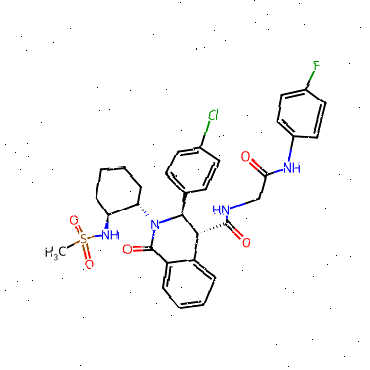 CS(=O)(=O)N[C@H]1CCCC[C@@H]1N1C(=O)c2ccccc2[C@@H](C(=O)NCC(=O)Nc2ccc(F)cc2)[C@@H]1c1ccc(Cl)cc1